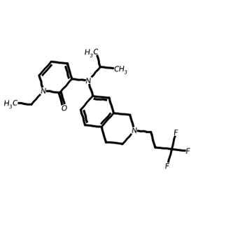 CCn1cccc(N(c2ccc3c(c2)CN(CCC(F)(F)F)CC3)C(C)C)c1=O